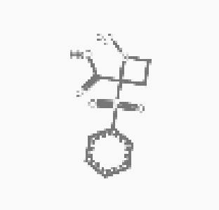 COC(=O)C1(S(=O)(=O)c2ccccc2)CCN1[N+](=O)[O-]